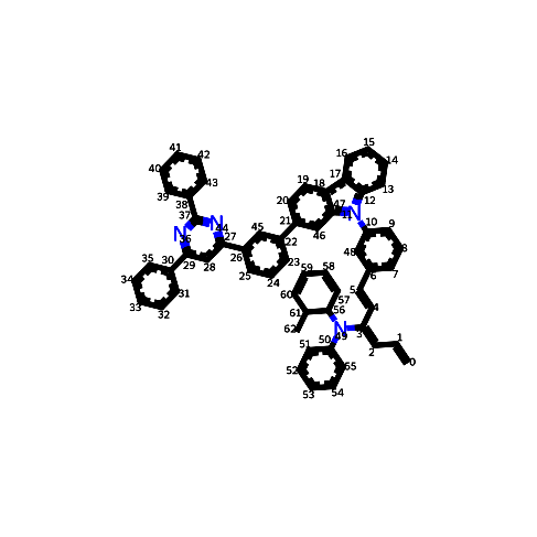 C=C/C=C(\C=C\c1cccc(-n2c3ccccc3c3ccc(-c4cccc(-c5cc(-c6ccccc6)nc(-c6ccccc6)n5)c4)cc32)c1)N(c1ccccc1)C1C=CC=CC1C